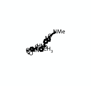 CNCCCOc1ccc2cc(C(=O)Nc3cc(NC(=O)c4ccc5c(c4)OCCO5)ccc3C)ccc2n1